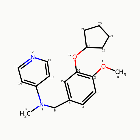 COc1ccc(CN(C)c2ccncc2)cc1OC1CCCC1